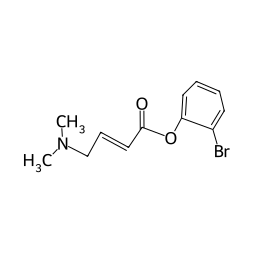 CN(C)CC=CC(=O)Oc1ccccc1Br